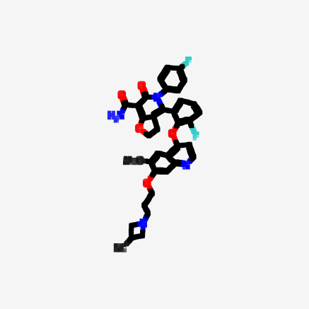 COc1cc2c(Oc3c(F)cccc3-c3c4c(c(C(N)=O)c(=O)n3-c3ccc(F)cc3)OCC4)ccnc2cc1OCCCN1CC(C#N)C1